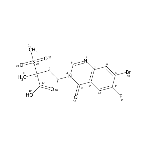 CC(CCn1cnc2cc(Br)c(F)cc2c1=O)(C(=O)O)S(C)(=O)=O